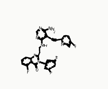 Nc1ncnc(NCCc2nc3cccc(F)c3c(=O)n2-c2cc(F)cc(F)c2)c1C#Cc1ccc(F)cn1